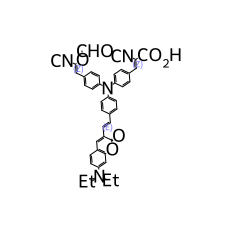 [C-]#[N+]/C(=C/c1ccc(N(c2ccc(/C=C(\[N+]#[C-])C(=O)O)cc2)c2ccc(/C=C/c3cc4ccc(N(CC)CC)cc4oc3=O)cc2)cc1)OC=O